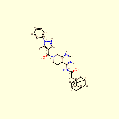 Cc1c(C(=O)N2CCc3c(ncnc3NC(=O)CC34CC5CC(CC(C5)C3)C4)C2)cnn1-c1ccccc1